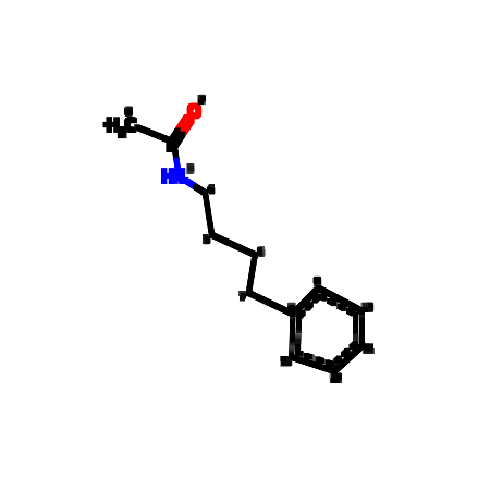 [CH2]C(=O)NCCCCc1ccccc1